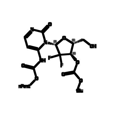 CCCCCOC(=O)Nc1ccnc(=O)n1[C@@H]1O[C@H](CO)[C@@H](OC(=O)OC(C)(C)C)C1(F)F